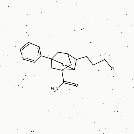 NC(=O)C12CC3CC(c4ccccc4)(CC1C3CCCCl)C2